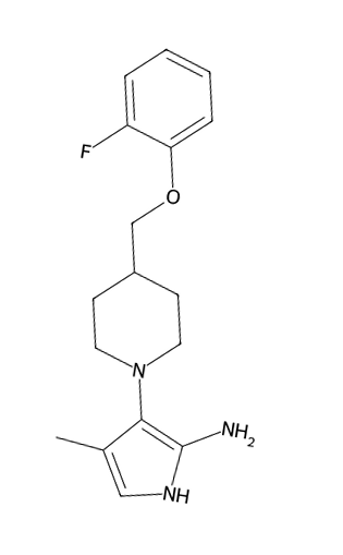 Cc1c[nH]c(N)c1N1CCC(COc2ccccc2F)CC1